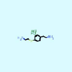 Cl.Cl.NCCSc1ccc(CCN)cc1